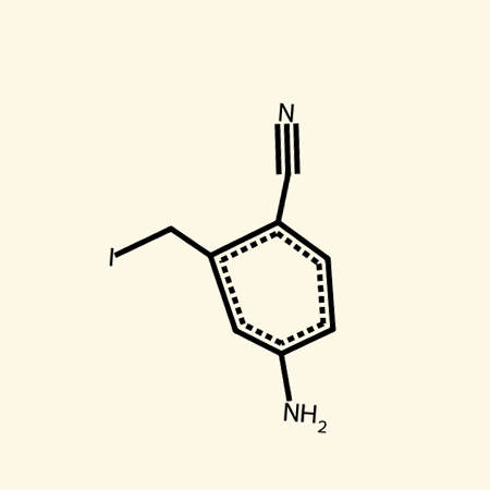 N#Cc1ccc(N)cc1CI